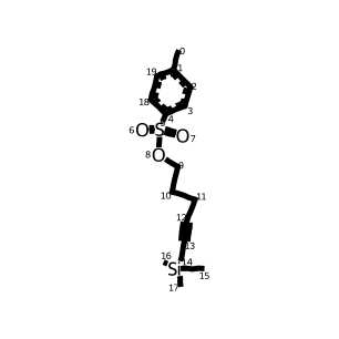 Cc1ccc(S(=O)(=O)OCCCC#C[Si](C)(C)C)cc1